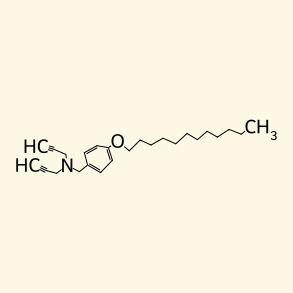 C#CCN(CC#C)Cc1ccc(OCCCCCCCCCCCC)cc1